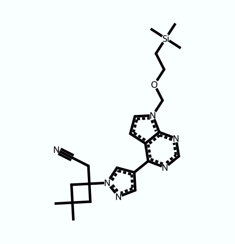 CC1(C)CC(CC#N)(n2cc(-c3ncnc4c3ccn4COCC[Si](C)(C)C)cn2)C1